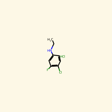 CCNc1ccc(Cl)c(F)c1.Cl